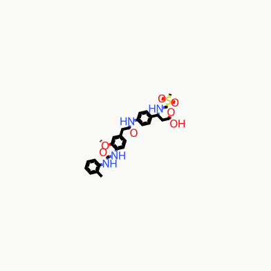 COc1cc(CC(=O)Nc2ccc(C(CC(=O)O)NCS(C)(=O)=O)cc2)ccc1NC(=O)Nc1ccccc1C